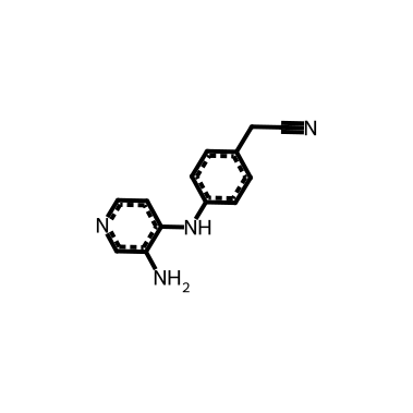 N#CCc1ccc(Nc2ccncc2N)cc1